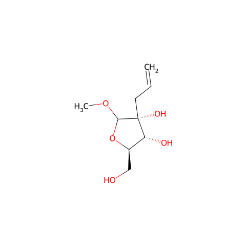 C=CC[C@]1(O)C(OC)O[C@H](CO)[C@H]1O